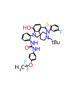 CC(C)(C)CN1CCC2(CC1)CN(c1ccccc1NC(=O)Nc1ccc(OC(C)(F)F)cc1)c1c(O)ccc(-c3nc4cc(F)ccc4s3)c12